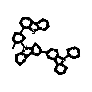 Cc1ccc(-c2cccc3c2sc2ccccc23)cc1-n1c2ccccc2c2cc(-c3ccc4c(c3)c3ccccc3n4-c3ccccc3)ccc21